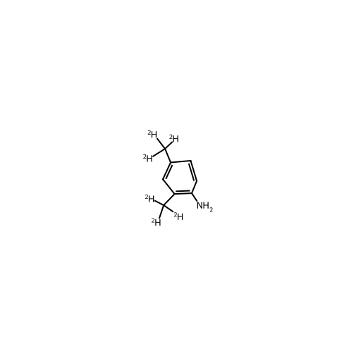 [2H]C([2H])([2H])c1ccc(N)c(C([2H])([2H])[2H])c1